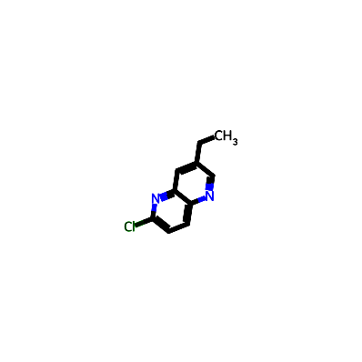 CCc1cnc2ccc(Cl)nc2c1